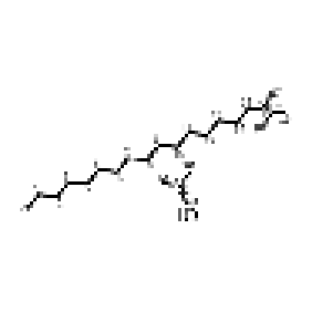 CCCCCCCCCCCCCCCC[N+](C)(C)C.CN(C)C.[OH-]